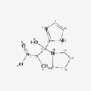 CC([N+](=O)[O-])C(O)(c1ncc[nH]1)N1CCCC1